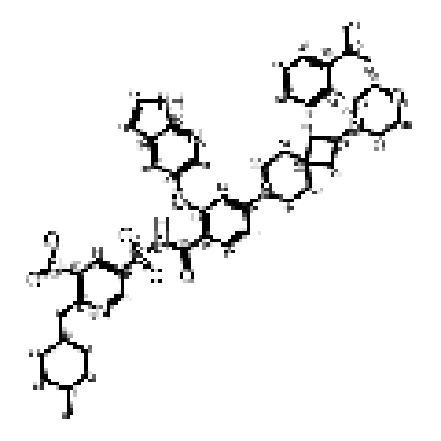 CC1CCC(Cc2ncc(S(=O)(=O)NC(=O)c3ccc(N4CCC5(CC4)CC(N4CCOC[C@H]4c4ccccc4C(C)C)C5)cc3Oc3cnc4[nH]ccc4c3)cc2[N+](=O)[O-])CC1